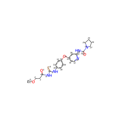 CCOCCC(=O)NC(=S)Nc1ccc(Oc2ccnc(NC(=O)N3CCCC3)c2)cc1